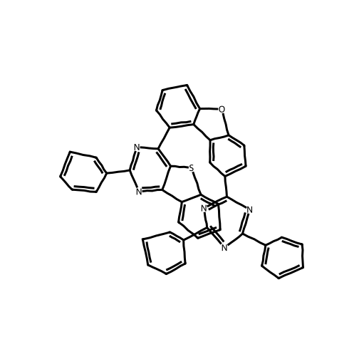 c1ccc(-c2nc(-c3ccccc3)nc(-c3ccc4oc5cccc(-c6nc(-c7ccccc7)nc7c6sc6ccccc67)c5c4c3)n2)cc1